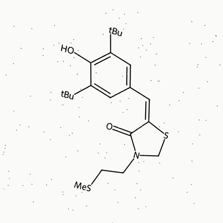 CSCCN1CSC(=Cc2cc(C(C)(C)C)c(O)c(C(C)(C)C)c2)C1=O